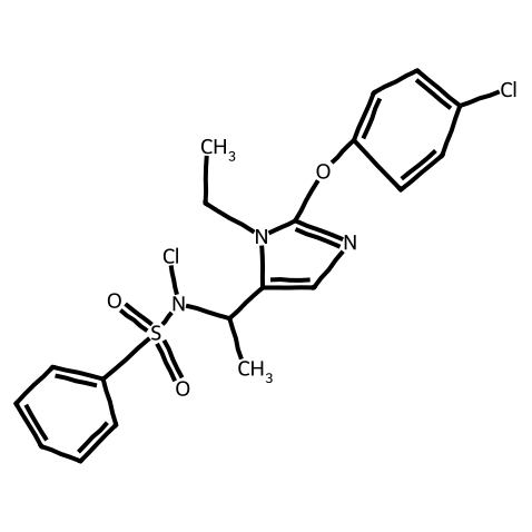 CCn1c(C(C)N(Cl)S(=O)(=O)c2ccccc2)cnc1Oc1ccc(Cl)cc1